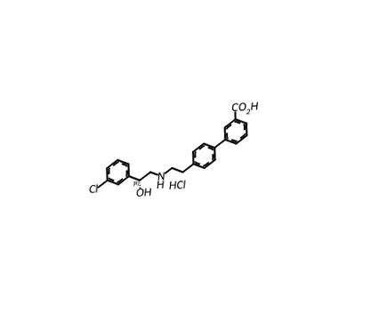 Cl.O=C(O)c1cccc(-c2ccc(CCNC[C@H](O)c3cccc(Cl)c3)cc2)c1